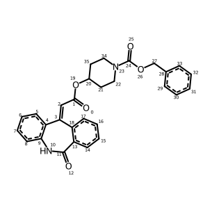 O=C(/C=C1/c2ccccc2NC(=O)c2ccccc21)OC1CCN(C(=O)OCc2ccccc2)CC1